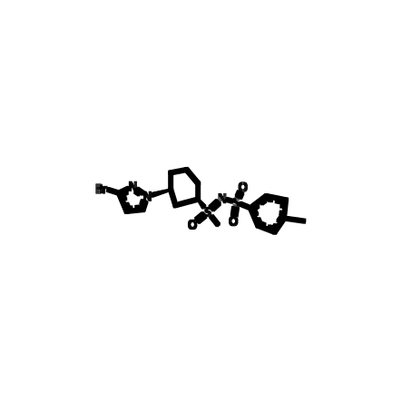 Cc1ccc(S(=O)(=O)N=S(C)(=O)[C@@H]2CCC[C@H](n3ccc(Br)n3)C2)cc1